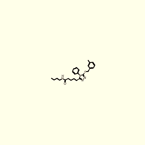 CCCCNC(=O)CCCCc1nnc(SCc2cccc(C)c2)n1-c1ccccc1